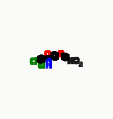 O=C(Nc1ccc(Oc2ccc([N+](=O)[O-])cc2)cc1)c1ccc(Cl)c(Cl)c1